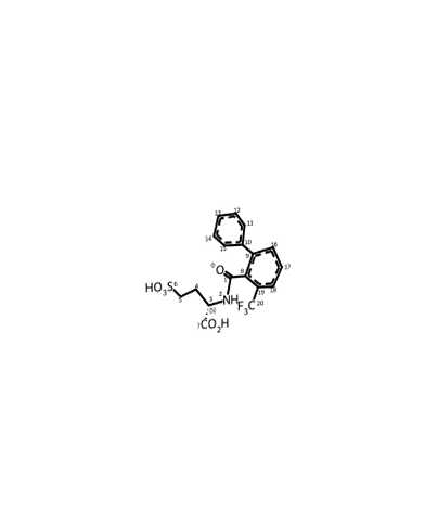 O=C(N[C@@H](CCS(=O)(=O)O)C(=O)O)c1c(-c2ccccc2)cccc1C(F)(F)F